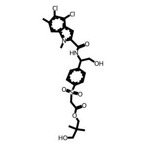 Cc1cc2c(cc(C(=O)NC(CO)c3ccc(S(=O)(=O)CC(=O)OCC(C)(C)CO)cc3)n2C)c(Cl)c1Cl